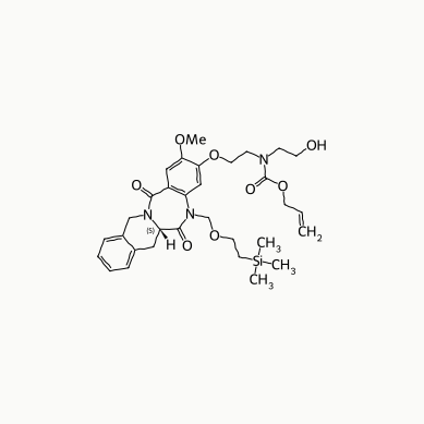 C=CCOC(=O)N(CCO)CCOc1cc2c(cc1OC)C(=O)N1Cc3ccccc3C[C@H]1C(=O)N2COCC[Si](C)(C)C